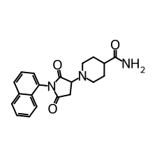 NC(=O)C1CCN(C2CC(=O)N(c3cccc4ccccc34)C2=O)CC1